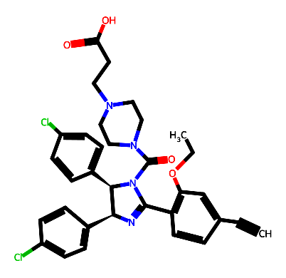 C#Cc1ccc(C2=N[C@@H](c3ccc(Cl)cc3)[C@@H](c3ccc(Cl)cc3)N2C(=O)N2CCN(CCC(=O)O)CC2)c(OCC)c1